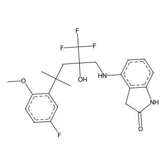 COc1ccc(F)cc1C(C)(C)CC(O)(CNc1cccc2c1CC(=O)N2)C(F)(F)F